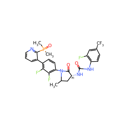 CC1C[C@@H](NC(=O)Nc2ccc(C(F)(F)F)cc2F)C(=O)N1c1ccc(-c2cccnc2P(C)(C)=O)c(F)c1F